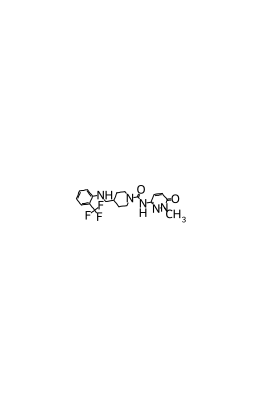 Cn1nc(NC(=O)N2CCC(CNc3ccccc3C(F)(F)F)CC2)ccc1=O